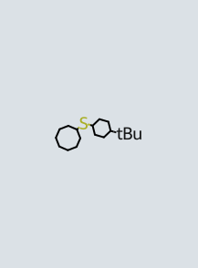 CC(C)(C)C1CCC(SC2CCCCCCC2)CC1